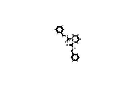 O=C(OCc1ccccc1)N1CC=CCN1C(=O)OCc1ccccc1